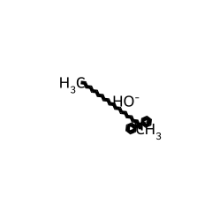 CCCCCCCCCCCCCCCCCCCC[N+](C)(c1ccccc1)c1ccccc1.[OH-]